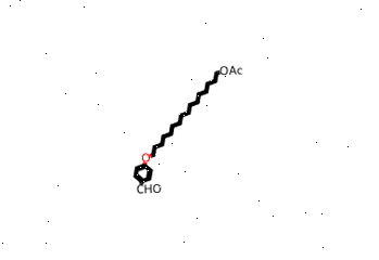 CC(=O)OCCCCCCCCCCCCCCCCOc1ccc(C=O)cc1